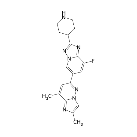 Cc1cn2nc(-c3cc(F)c4nc(C5CCNCC5)nn4c3)cc(C)c2n1